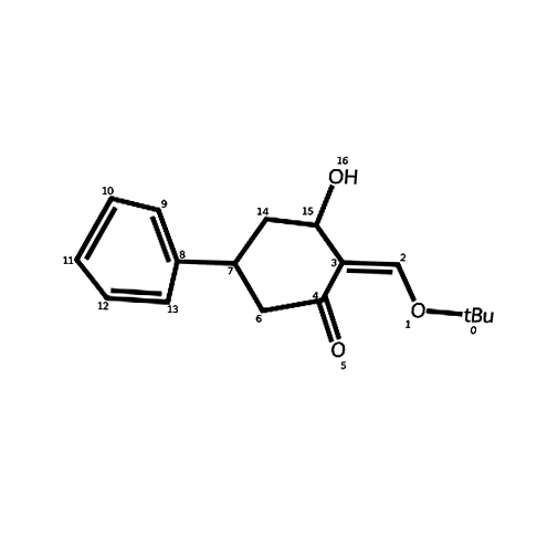 CC(C)(C)O/C=C1\C(=O)CC(c2ccccc2)CC1O